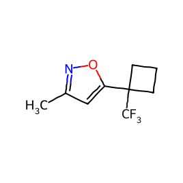 Cc1cc(C2(C(F)(F)F)CCC2)on1